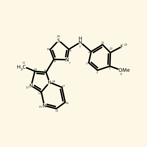 COc1ccc(Nc2nc(-c3c(C)nc4ncccn34)cs2)cc1F